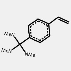 C=Cc1ccc(C(NC)(NC)NC)cc1